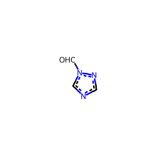 O=Cn1cncn1